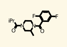 CC(C)C(=O)N1CCN(C(=O)c2cc(F)ccc2F)C(C)C1